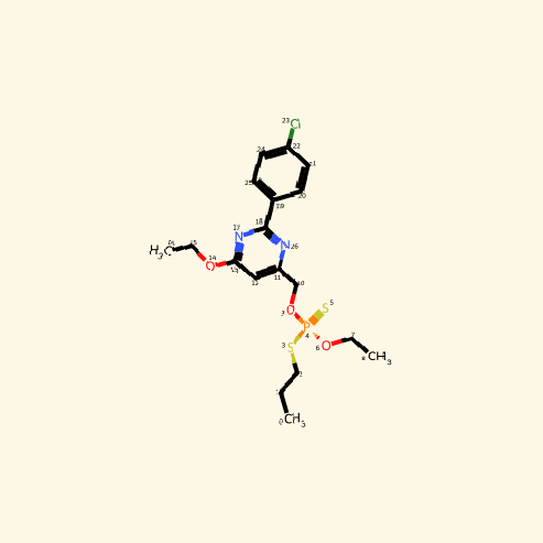 CCCS[P@@](=S)(OCC)OCc1cc(OCC)nc(-c2ccc(Cl)cc2)n1